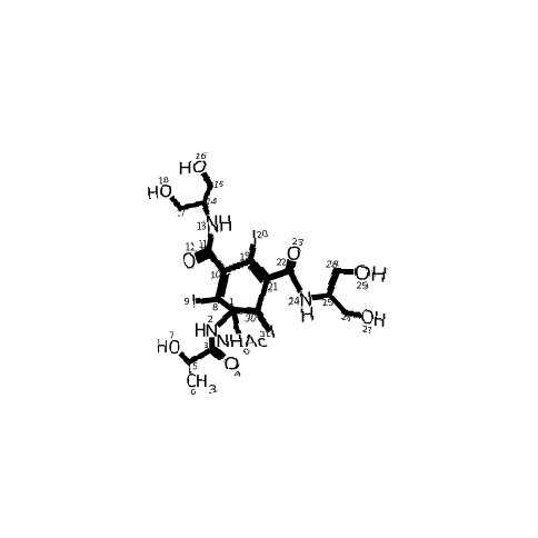 CC(=O)NC1(NC(=O)[C@H](C)O)C(I)=C(C(=O)NC(CO)CO)C(I)=C(C(=O)NC(CO)CO)C1I